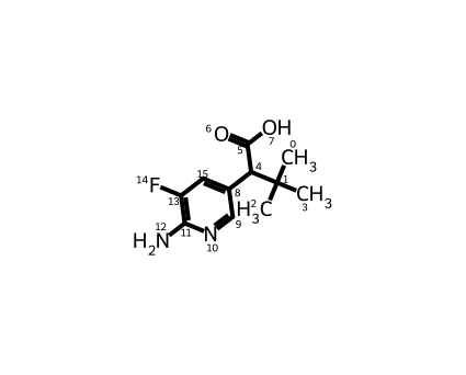 CC(C)(C)C(C(=O)O)c1cnc(N)c(F)c1